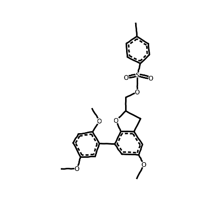 COc1ccc(OC)c(-c2cc(OC)cc3c2OC(COS(=O)(=O)c2ccc(C)cc2)C3)c1